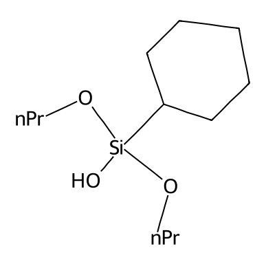 CCCO[Si](O)(OCCC)C1CCCCC1